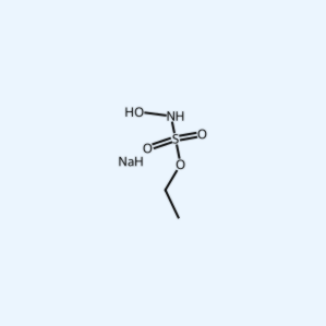 CCOS(=O)(=O)NO.[NaH]